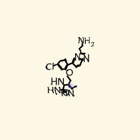 CNC(=O)C(=N)/C(CCOc1cc(Cl)ccc1-c1ccc2ncc(CCN)n2c1)=C(/C)NC